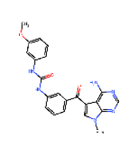 COc1cccc(NC(=O)Nc2cccc(C(=O)c3cn(C)c4ncnc(N)c34)c2)c1